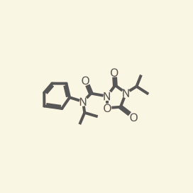 CC(C)N(C(=O)n1oc(=O)n(C(C)C)c1=O)c1ccccc1